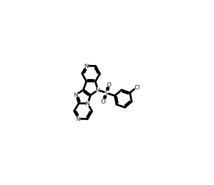 O=S(=O)(c1cccc(Cl)c1)n1c2ccncc2c2nc3cnccn3c21